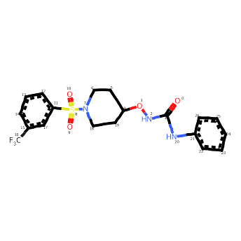 O=C(NOC1CCN(S(=O)(=O)c2cccc(C(F)(F)F)c2)CC1)Nc1ccccc1